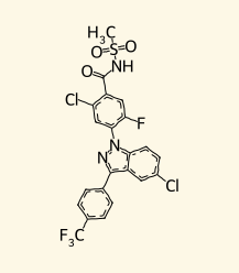 CS(=O)(=O)NC(=O)c1cc(F)c(-n2nc(-c3ccc(C(F)(F)F)cc3)c3cc(Cl)ccc32)cc1Cl